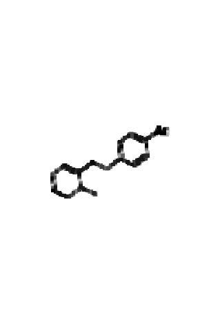 CC(=O)c1ccc(CCC2=CC=CCC2C)cc1